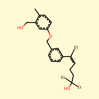 CC/C(=C/CCC(O)(CC)CC)c1cccc(COc2ccc(C)c(CO)c2)c1